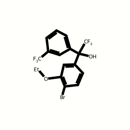 CCOc1cc(C(O)(c2cccc(C(F)(F)F)c2)C(F)(F)F)ccc1Br